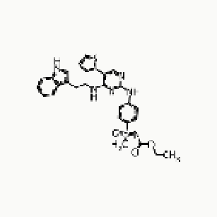 CCOC(=O)N=S(C)(=O)c1ccc(Nc2ncc(-c3cccs3)c(NCCc3c[nH]c4ccccc34)n2)cc1